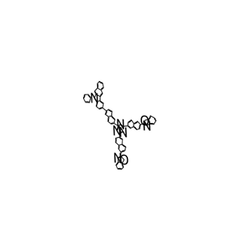 c1ccc(-n2c3ccc(-c4ccc5cc(-c6nc(-c7ccc8cc(-c9nc%10ccccc%10o9)ccc8c7)nc(-c7ccc8cc(-c9nc%10ccccc%10o9)ccc8c7)n6)ccc5c4)cc3c3cc4ccccc4cc32)cc1